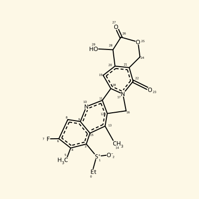 CC[S+]([O-])c1c(C)c(F)cc2nc3c(c(C)c12)Cn1c-3cc2c(c1=O)COC(=O)C2O